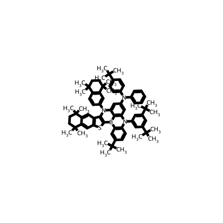 CC(C)(C)c1ccc(N(c2ccccc2)c2cc3c4c(c2)N(c2ccc5c(c2)C(C)(C)CCC5(C)C)c2c(sc5cc6c(cc25)C(C)(C)CCC6(C)C)B4c2cc(C(C)(C)C)ccc2N3c2cc(C(C)(C)C)cc(C(C)(C)C)c2)cc1